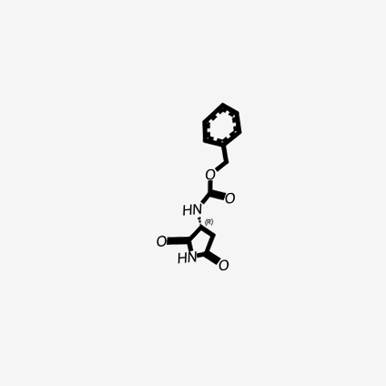 O=C1C[C@@H](NC(=O)OCc2ccccc2)C(=O)N1